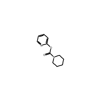 O=C(Oc1ccccn1)N1CCCCC1